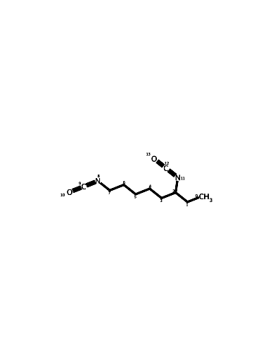 CCC(CCCCCN=C=O)N=C=O